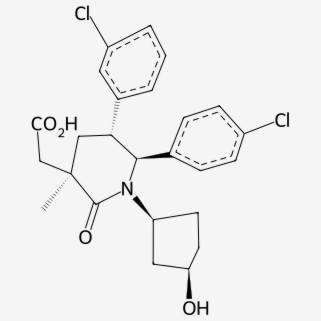 C[C@]1(CC(=O)O)C[C@H](c2cccc(Cl)c2)[C@@H](c2ccc(Cl)cc2)N([C@H]2CC[C@@H](O)C2)C1=O